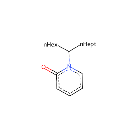 CCCCCCCC(CCCCCC)n1ccccc1=O